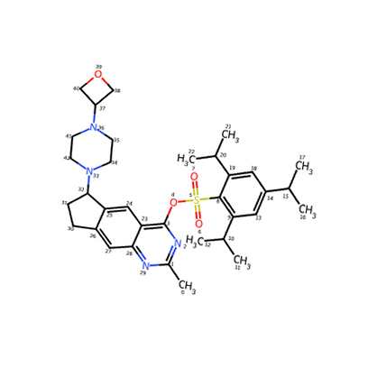 Cc1nc(OS(=O)(=O)c2c(C(C)C)cc(C(C)C)cc2C(C)C)c2cc3c(cc2n1)CCC3N1CCN(C2COC2)CC1